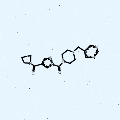 O=C(c1cnn(C(=O)N2CCN(Cc3cncnc3)CC2)c1)N1CCC1